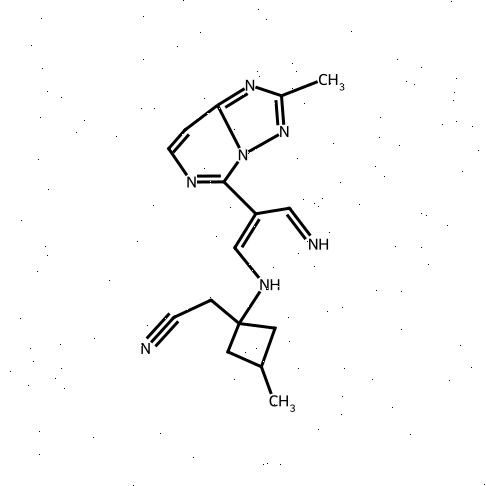 Cc1nc2ccnc(/C(C=N)=C/NC3(CC#N)CC(C)C3)n2n1